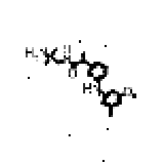 COc1cc(C)cc(Nc2cccc(C(C)C(=O)NCC(C)(C)N)c2)c1